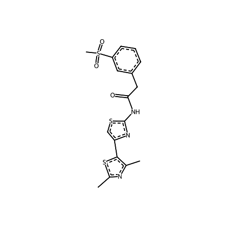 Cc1nc(C)c(-c2csc(NC(=O)Cc3cccc(S(C)(=O)=O)c3)n2)s1